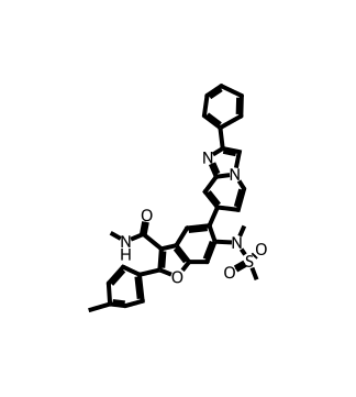 CNC(=O)c1c(-c2ccc(C)cc2)oc2cc(N(C)S(C)(=O)=O)c(-c3ccn4cc(-c5ccccc5)nc4c3)cc12